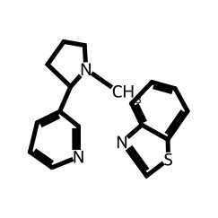 CN1CCCC1c1cccnc1.c1ccc2scnc2c1